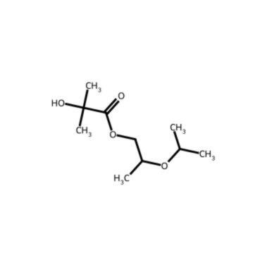 CC(C)OC(C)COC(=O)C(C)(C)O